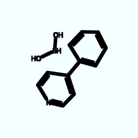 OBO.c1ccc(-c2ccncc2)cc1